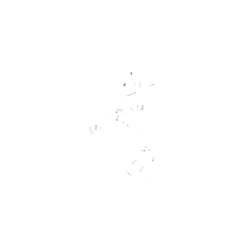 C=C[C@H](CO)C(NC(=O)[C@@H]1C[C@@H]2CN1C(=O)[C@H](C(C)(C)C)NC(=O)OCCCCCc1cc(I)c3ccnc(c3c1)O2)C(=O)NS(=O)(=O)C1CC1